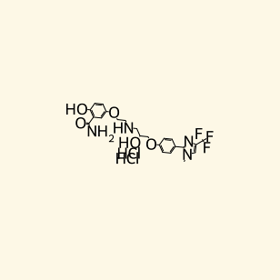 Cl.Cl.Cn1cc(C(F)(F)F)nc1-c1ccc(OCC(O)CNCCOc2ccc(O)c(C(N)=O)c2)cc1